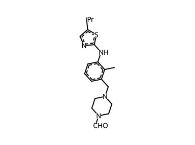 Cc1c(CN2CCN(C=O)CC2)cccc1Nc1ncc(C(C)C)s1